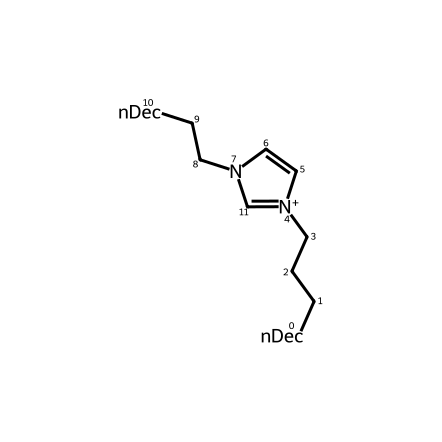 CCCCCCCCCCCCC[n+]1ccn(CCCCCCCCCCCC)c1